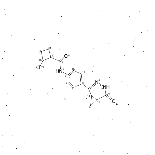 O=C(Nc1ccc(C2=NNC(=O)C3CC23)cc1)C1CCC1Cl